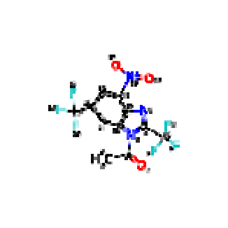 CC(=O)n1c(C(F)(F)F)nc2c([N+](=O)[O-])cc(C(F)(F)F)cc21